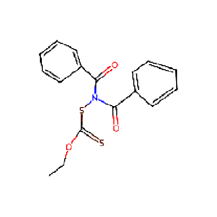 CCOC(=S)SN(C(=O)c1ccccc1)C(=O)c1ccccc1